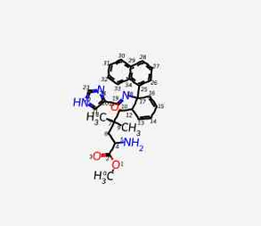 COC(=O)C(N)CC(C)(C)C(=O)C1C=CC=CC1(/N=C/c1c[nH]cn1)c1cccc2ccccc12